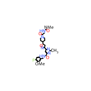 CNC(=O)NCC(=O)N1CCC(C2CC(c3cc(C(=O)NCc4ccc(F)c(OC)c4)nc(C)n3)=NO2)CC1